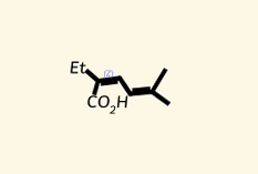 CC/C(=C/C=C(C)C)C(=O)O